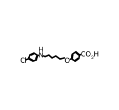 O=C(O)c1ccc(OCCCCCCNc2ccc(Cl)cc2)cc1